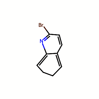 Brc1ccc2c(n1)=CCCC=2